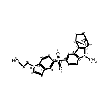 Cn1c2c(c3cc(S(=O)(=O)c4ccc5c(ccn5CCO)c4)ccc31)C1CCC(C2)N1